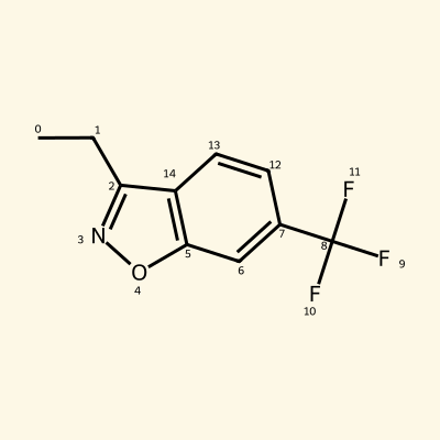 CCc1noc2cc(C(F)(F)F)ccc12